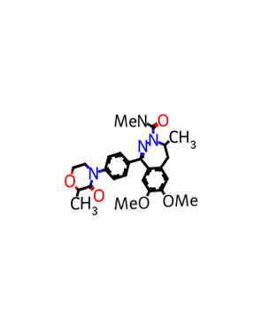 CNC(=O)N1N=C(c2ccc(N3CCOC(C)C3=O)cc2)c2cc(OC)c(OC)cc2CC1C